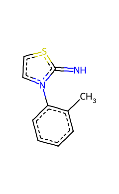 Cc1ccccc1-n1ccsc1=N